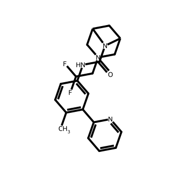 Cc1ccc(NC(=O)N2C3CC2CN(CC(F)F)C3)cc1-c1ccccn1